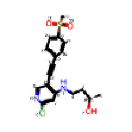 C[C@@H](O)CCNc1cc(Cl)ncc1C#Cc1ccc(S(C)(=O)=O)cc1